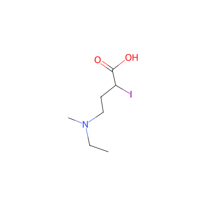 CCN(C)CCC(I)C(=O)O